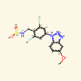 COc1ccc2c(c1)nnn2-c1cc(F)c(CN[SH](=O)=O)c(F)c1